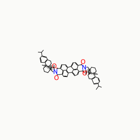 CC(C)c1ccc2c(c1)CC[C@H]1[C@@](C)(CN3C(=O)c4ccc5c6ccc7c8c(ccc(c9ccc(c4c59)C3=O)c86)C(=O)N(C[C@@]3(C)CCC[C@]4(C)c5ccc(C(C)C)cc5CC[C@@H]34)C7=O)CCC[C@]21C